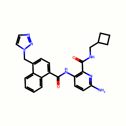 Nc1ccc(NC(=O)c2ccc(Cn3ccnn3)c3ccccc23)c(C(=O)NCC2CCC2)n1